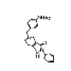 CC(=O)Nc1ccc(CN2CCc3[nH]n(-c4ccccc4)c(=O)c3C2)cc1